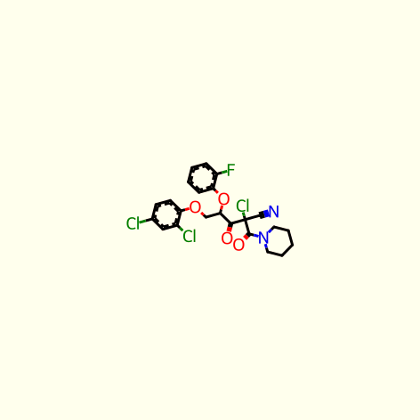 N#CC(Cl)(C(=O)C(COc1ccc(Cl)cc1Cl)Oc1ccccc1F)C(=O)N1CCCCC1